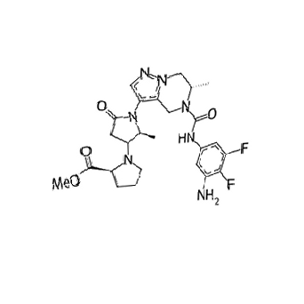 COC(=O)[C@@H]1CCCN1C1CC(=O)N(c2cnn3c2CN(C(=O)Nc2cc(N)c(F)c(F)c2)[C@@H](C)C3)[C@H]1C